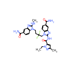 CCn1nc(C)cc1C(=O)Nc1nc2cc(C(N)=O)ccc2n1CC(F)(F)CCn1c(NC)nc2cc(C(N)=O)ccc21